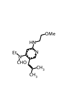 CCN(C=O)c1cc(NCCOC)ncc1C=C(C)C